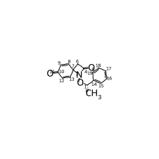 C[C@H](ON1C(=O)CC12C=CC(=O)C=C2)c1ccccc1